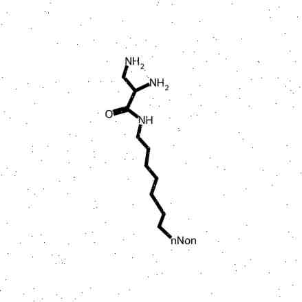 CCCCCCCCCCCCCCCCNC(=O)C(N)CN